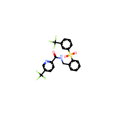 O=C(NCc1ccccc1S(=O)(=O)c1cccc(C(F)(F)F)c1)c1ccc(C(F)(F)F)cn1